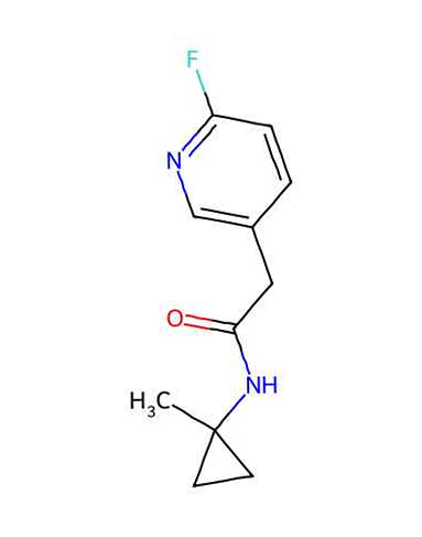 CC1(NC(=O)Cc2ccc(F)nc2)CC1